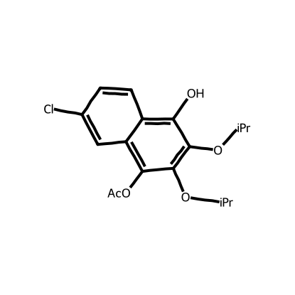 CC(=O)Oc1c(OC(C)C)c(OC(C)C)c(O)c2ccc(Cl)cc12